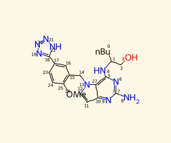 CCCCC(CO)Nc1nc(N)nc2ccn(Cc3cc(-c4nnn[nH]4)ccc3OC)c12